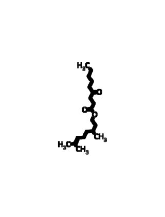 CCCCCC(=O)CCC(=O)OCCC(C)CCC=C(C)C